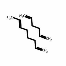 C=CCCC=C.C=CCCCC=CC